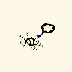 C[C@@H]1[C@H]2C[C@@H](C[C@H]1/N=C/c1ccccc1)C2(C)C